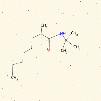 CCCCCCC(C)C(=O)NC(C)(C)C